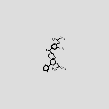 Cc1cc(C(=O)N2CC[C@]3(CC(c4cccnc4)C[C@H](OC(C)C)C3)OC2)ccc1OC(C)C